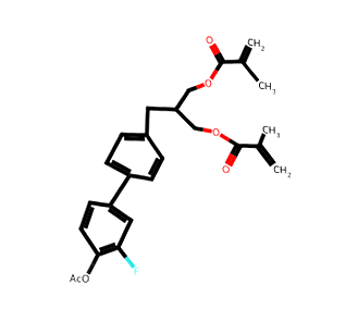 C=C(C)C(=O)OCC(COC(=O)C(=C)C)Cc1ccc(-c2ccc(OC(C)=O)c(F)c2)cc1